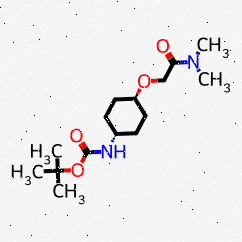 CN(C)C(=O)CO[C@H]1CC[C@H](NC(=O)OC(C)(C)C)CC1